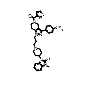 Cn1c(=O)n(C2CCN(CCCn3nc(-c4ccc(C(F)(F)F)cc4)c4c3CCN(C(=O)c3ccno3)C4)CC2)c2ccccc21